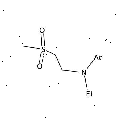 CCN(CCS(C)(=O)=O)C(C)=O